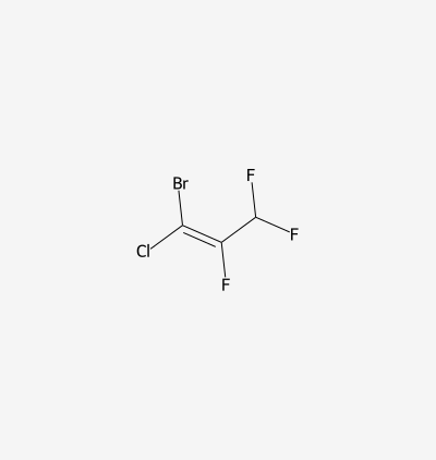 FC(=C(Cl)Br)C(F)F